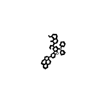 C=c1/c(=C(\C=C/C)c2cc3c(c(N(c4ccccc4)c4ccccc4)c2)OC2C=CC(c4ccc5ccc6cccc7ccc4c5c67)=CC32)ccc2cccc(CC)c12